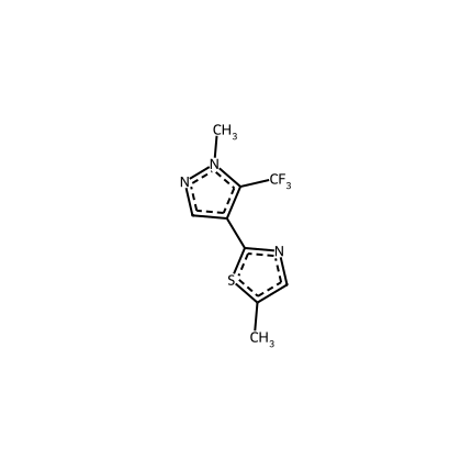 Cc1cnc(-c2cnn(C)c2C(F)(F)F)s1